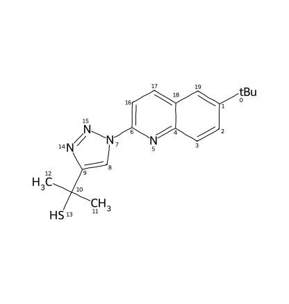 CC(C)(C)c1ccc2nc(-n3cc(C(C)(C)S)nn3)ccc2c1